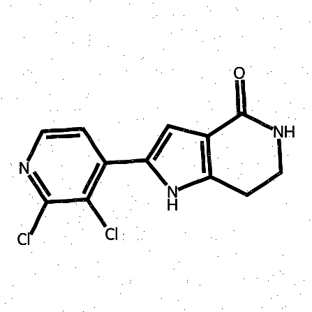 O=C1NCCc2[nH]c(-c3ccnc(Cl)c3Cl)cc21